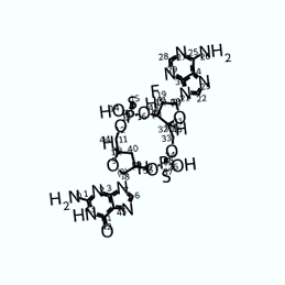 Nc1nc2c(ncn2[C@@H]2O[C@@H]3CO[P@@](O)(=S)O[C@H]4[C@H](F)[C@H](n5cnc6c(N)ncnc65)O[C@@H]4CO[P@@](O)(=S)O[C@@H]2C3)c(=O)[nH]1